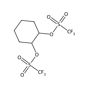 O=S(=O)(OC1CCCCC1OS(=O)(=O)C(F)(F)F)C(F)(F)F